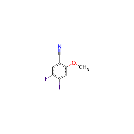 COc1cc(I)c(I)cc1C#N